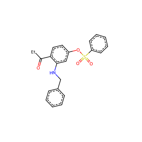 CCC(=O)c1ccc(OS(=O)(=O)c2ccccc2)cc1NCc1ccccc1